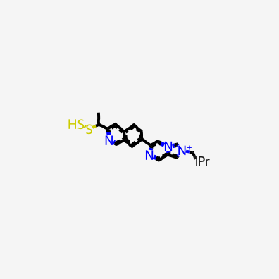 CC(C)C[n+]1cc2cnc(-c3ccc4cc(C(C)SS)ncc4c3)cn2c1